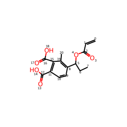 C=CC(=O)OC(CC)c1ccc(C(=O)O)c(C(=O)O)c1C